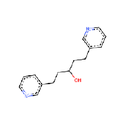 OC(CCc1cccnc1)CCc1cccnc1